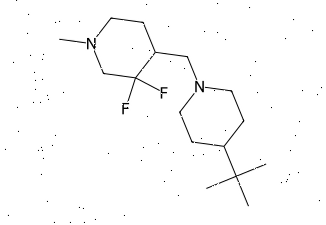 CN1CCC(CN2CCC(C(C)(C)C)CC2)C(F)(F)C1